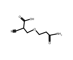 N#CC(COCCC(N)=O)C(=O)O